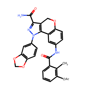 CC(=O)Oc1cccc(C(=O)Nc2ccc3c(c2)-c2c(c(C(N)=O)nn2-c2ccc4c(c2)OCO4)CO3)c1C